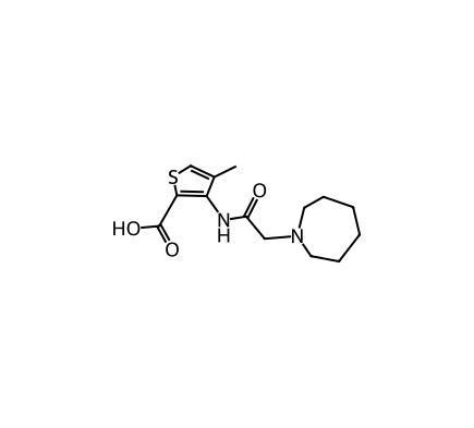 Cc1csc(C(=O)O)c1NC(=O)CN1CCCCCC1